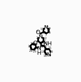 O=C1CN(C(=O)c2cccnc2)Cc2[nH]c(-c3ccncc3)c(Nc3ccccc3)c21